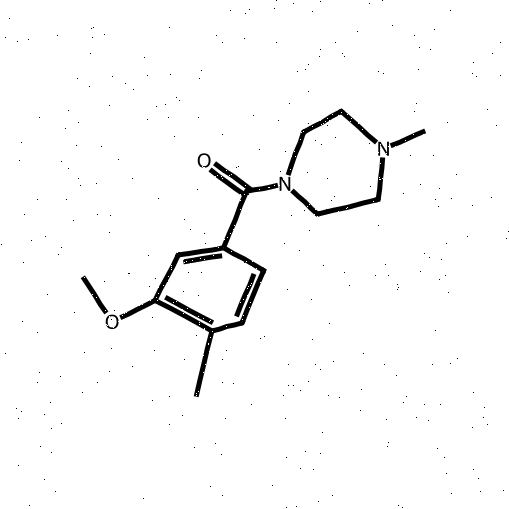 COc1cc(C(=O)N2CCN(C)CC2)ccc1C